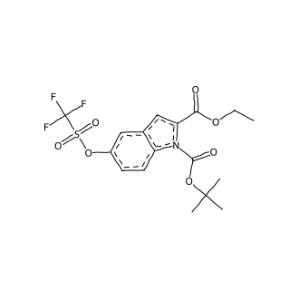 CCOC(=O)c1cc2cc(OS(=O)(=O)C(F)(F)F)ccc2n1C(=O)OC(C)(C)C